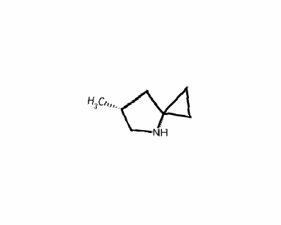 C[C@H]1CNC2(CC2)C1